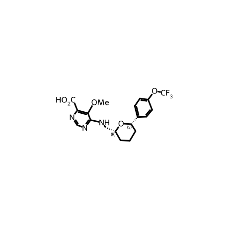 COc1c(NC[C@H]2CCC[C@@H](c3ccc(OC(F)(F)F)cc3)O2)ncnc1C(=O)O